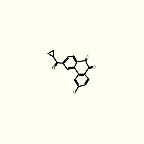 O=C1C(=O)c2ccc(C(=O)C3CC3)cc2-c2cc(Cl)ccc21